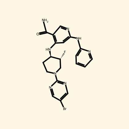 NC(=O)c1cnc(Nc2ccccn2)cc1N[C@@H]1CCN(c2ncc(Br)cn2)C[C@H]1F